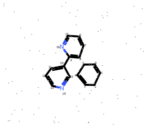 C1=CCC=CC1.c1ccc(-c2cccnc2)nc1